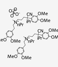 CCC[N+](C)(CCCC(C#N)(c1ccc(OC)c(OC)c1)C(C)C)CCc1ccc(OC)c(OC)c1.CCC[N+](C)(CCCC(C#N)(c1ccc(OC)c(OC)c1)C(C)C)CCc1ccc(OC)c(OC)c1.O=S(=O)([O-])[O-]